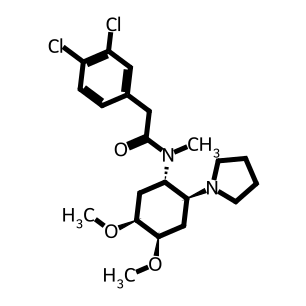 CO[C@H]1C[C@H](N(C)C(=O)Cc2ccc(Cl)c(Cl)c2)[C@@H](N2CCCC2)C[C@H]1OC